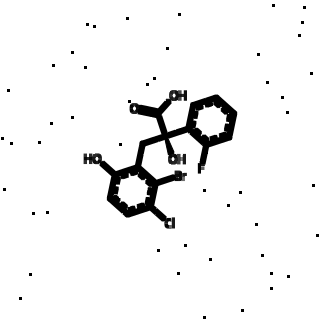 O=C(O)[C@@](O)(Cc1c(O)ccc(Cl)c1Br)c1ccccc1F